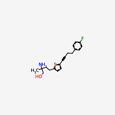 CC(N)(CO)CCc1ccc(C#CCCc2ccc(F)cc2)s1